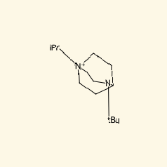 CC(C)[N+]12CCC(CC1)N(C(C)(C)C)CC2